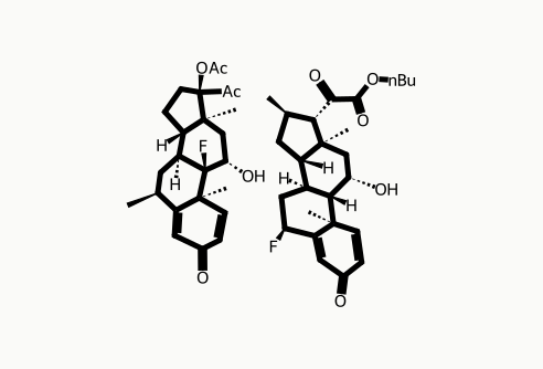 CC(=O)O[C@]1(C(C)=O)CC[C@H]2[C@@H]3C[C@H](C)C4=CC(=O)C=C[C@]4(C)[C@@]3(F)[C@@H](O)C[C@@]21C.CCCCOC(=O)C(=O)[C@H]1[C@H](C)C[C@H]2[C@@H]3C[C@H](F)C4=CC(=O)C=C[C@]4(C)[C@H]3[C@@H](O)C[C@@]21C